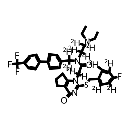 [2H]c1c([2H])c(CSc2nc(=O)c3c(n2C([2H])([2H])C(=O)N(C([2H])([2H])c2ccc(-c4ccc(C(F)(F)F)cc4)cc2)C([2H])([2H])C([2H])([2H])N(CC)CC)CCC3)c([2H])c([2H])c1F